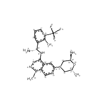 Cc1c([C@@H](N)Nc2nnc(C)c3cnc(N4C[C@@H](C)O[C@H](N)C4)cc23)cccc1C(F)(F)F